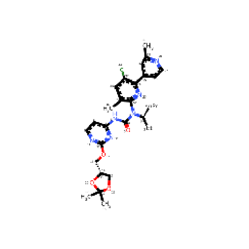 CCC[C@@H](CC)N(C(=O)Nc1ccnc(OC[C@@H]2COC(C)(C)O2)n1)c1nc(-c2ccnc(C)c2)c(Cl)cc1C